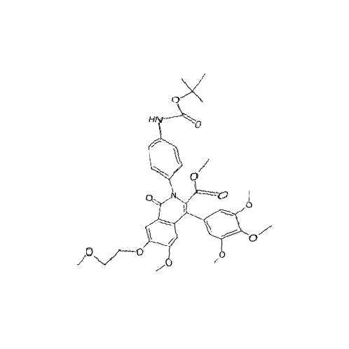 COCCOc1cc2c(=O)n(-c3ccc(NC(=O)OC(C)(C)C)cc3)c(C(=O)OC)c(-c3cc(OC)c(OC)c(OC)c3)c2cc1OC